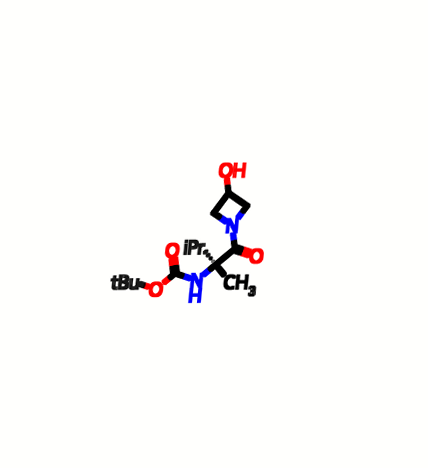 CC(C)[C@](C)(NC(=O)OC(C)(C)C)C(=O)N1CC(O)C1